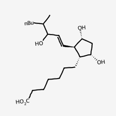 CCCCC(C)C(O)C=C[C@@H]1[C@@H](CCCCCCC(=O)O)[C@@H](O)C[C@H]1O